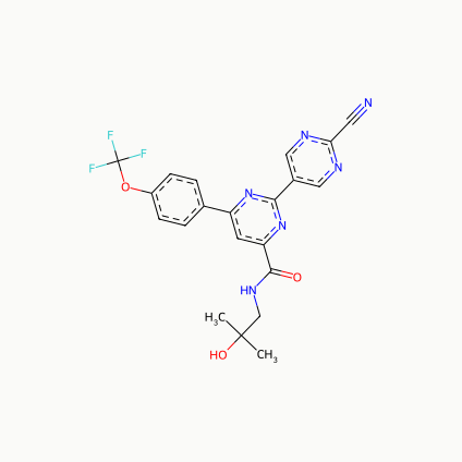 CC(C)(O)CNC(=O)c1cc(-c2ccc(OC(F)(F)F)cc2)nc(-c2cnc(C#N)nc2)n1